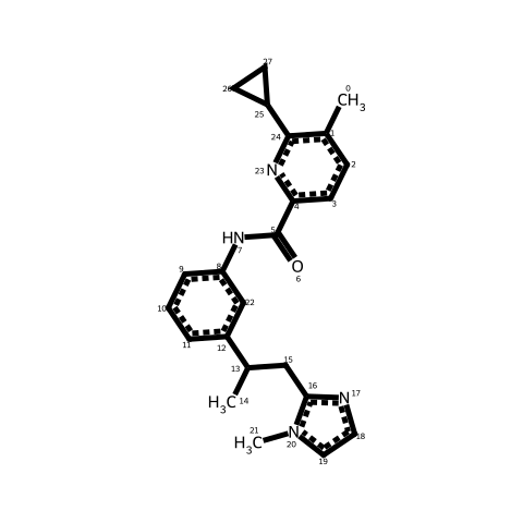 Cc1ccc(C(=O)Nc2cccc(C(C)Cc3nccn3C)c2)nc1C1CC1